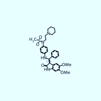 COc1cc2c(cc1OC)/C(=C(/Nc1ccc(N(CCN3CCCCC3)S(C)(=O)=O)cc1)c1ccccc1)C(=O)N2